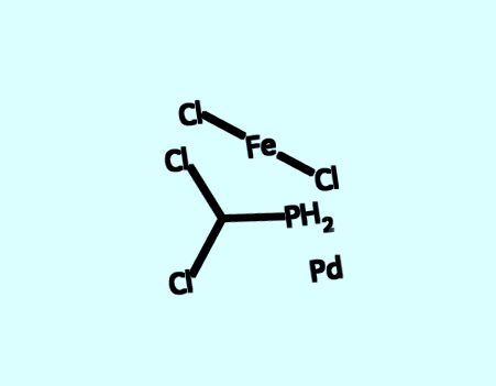 PC(Cl)Cl.[Cl][Fe][Cl].[Pd]